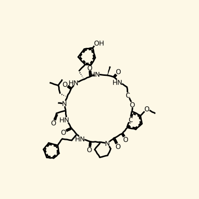 COc1ccc2cc1OCCNC(=O)[C@H](C)NC(=O)[C@@H](Cc1ccc(O)cc1)NC(=O)[C@@H](CC(C)C)N(C)C(C=O)NC(=O)C(CCc1ccccc1)NC(=O)C1CCCCN1C(=O)C2=O